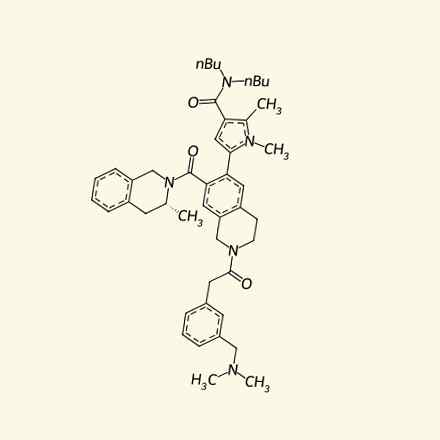 CCCCN(CCCC)C(=O)c1cc(-c2cc3c(cc2C(=O)N2Cc4ccccc4C[C@H]2C)CN(C(=O)Cc2cccc(CN(C)C)c2)CC3)n(C)c1C